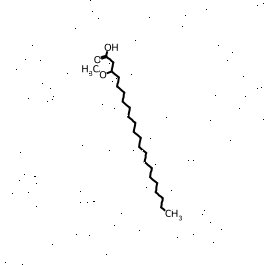 CCCCCCCCCCCCCCCCCCCC(CC(=O)O)OC